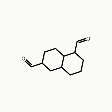 O=CC1CCC2C(C=O)CCCC2C1